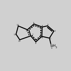 [SiH3]C1C=Cc2cc3c(cc21)CCC3